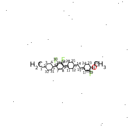 C=CC1CCC(c2ccc(C3CCC(CCC4C=C(F)C(OC)CC4)CC3)c(F)c2F)CC1